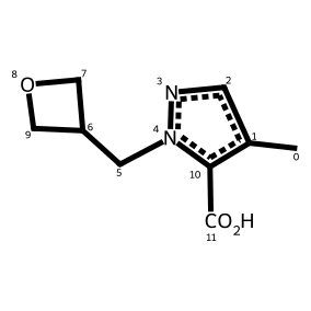 Cc1cnn(CC2COC2)c1C(=O)O